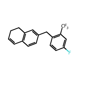 Fc1ccc(Cc2ccc3c(c2)CCC=C3)c(C(F)(F)F)c1